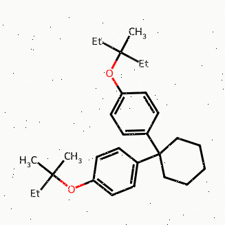 CCC(C)(C)Oc1ccc(C2(c3ccc(OC(C)(CC)CC)cc3)CCCCC2)cc1